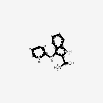 NC(=O)c1[nH]c2ccccc2c1Sc1ccccn1